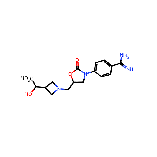 N=C(N)c1ccc(N2CC(CN3CC(C(O)C(=O)O)C3)OC2=O)cc1